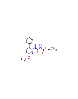 CCOC(=O)NC(=S)Nc1nc(OC)ccc1-c1ccccc1